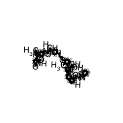 Cc1c(OCCCC2CCN(C(C)C(=O)Nc3ccc4c(C5CCC(=O)NC5=O)nn(C)c4c3)CC2)cccc1-c1ccc(N2CCc3cccc(C(=O)Nc4nc5ccccc5s4)c3C2)nc1C(O)O